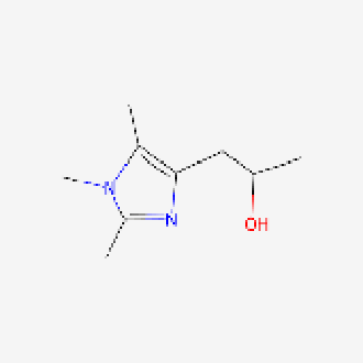 Cc1nc(CC(C)O)c(C)n1C